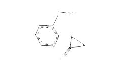 NNc1ccccc1.O=C1CC1